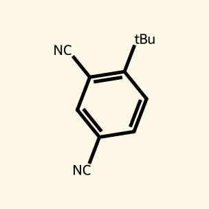 [CH2]C(C)(C)c1ccc(C#N)cc1C#N